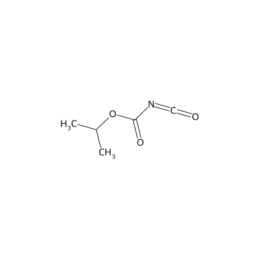 CC(C)OC(=O)N=C=O